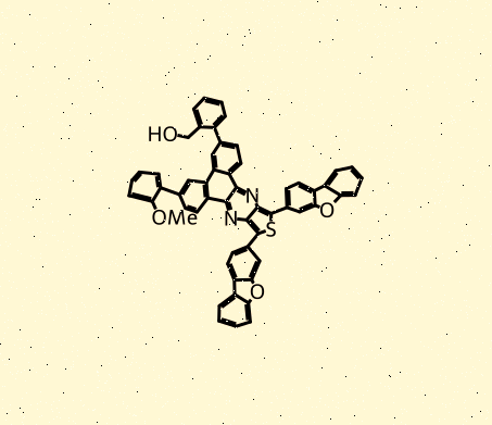 COc1ccccc1-c1ccc2c(c1)c1cc(-c3ccccc3CO)ccc1c1nc3c(-c4ccc5c(c4)oc4ccccc45)sc(-c4ccc5c(c4)oc4ccccc45)c3nc21